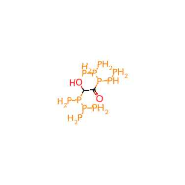 O=C(C(O)P(P)P(P)P)P(PP)P(P)P